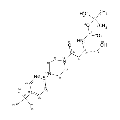 CC(C)(C)OC(=O)N[C@H](CO)CC(=O)N1CCN(c2ncc(C(F)(F)F)cn2)CC1